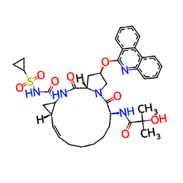 CC(C)(O)C(=O)N[C@H]1CCCCC/C=C\[C@@H]2C[C@@]2(C(=O)NS(=O)(=O)C2CC2)NC(=O)[C@@H]2C[C@@H](Oc3nc4ccccc4c4ccccc34)CN2C1=O